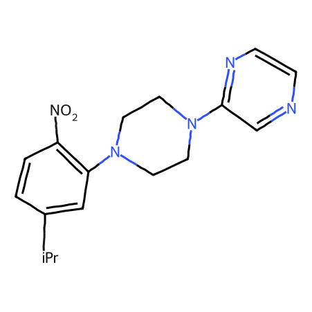 CC(C)c1ccc([N+](=O)[O-])c(N2CCN(c3cnccn3)CC2)c1